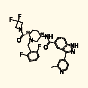 Cc1cc(-c2n[nH]c3ccc(C(=O)N[C@@H]4CC[C@@H](C(=O)N5CC(F)(F)C5)N(Cc5c(F)cccc5F)C4)cc23)ccn1